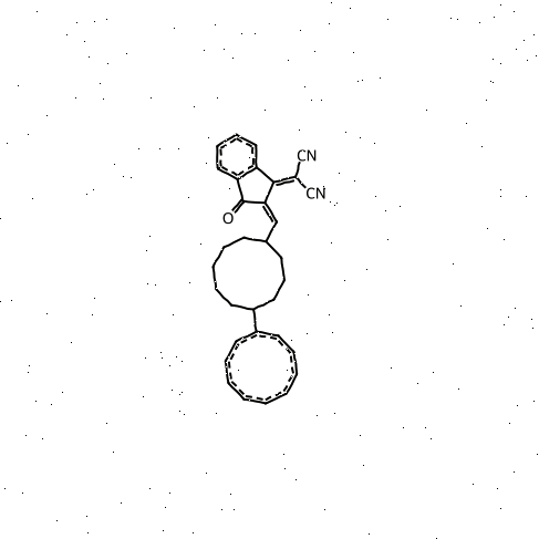 N#CC(C#N)=C1/C(=C/C2CCCCCC(c3ccccccccc3)CCC2)C(=O)c2ccccc21